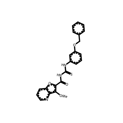 COc1c(C(=O)NC(=S)Nc2cccc(OCc3ccccc3)c2)oc2cccnc12